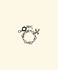 C1COCCOCCOCCOCCOCCO1.F[B-](F)(F)F.[NH3+]c1ccc(Cl)cc1